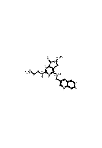 CCCN1Cc2c(NCc3cnc4ccccc4c3)nc(NCCNC(C)=O)nc2C1=O